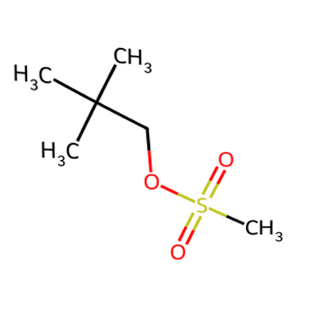 CC(C)(C)COS(C)(=O)=O